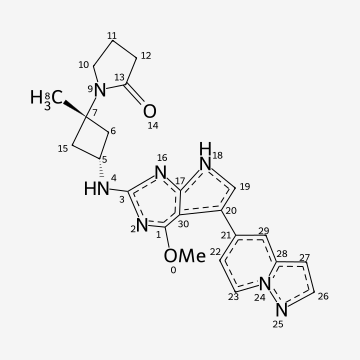 COc1nc(N[C@H]2C[C@@](C)(N3CCCC3=O)C2)nc2[nH]cc(-c3ccn4nccc4c3)c12